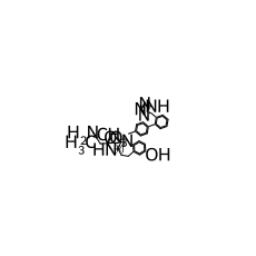 CC(C)(N)CC(=O)N[C@@H]1CCc2cc(O)ccc2N(Cc2ccc(-c3ccccc3-c3nnn[nH]3)cc2)C1=O